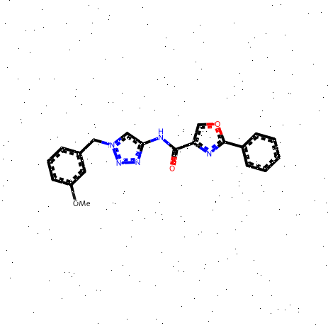 COc1cccc(Cn2cc(NC(=O)c3coc(-c4ccccc4)n3)nn2)c1